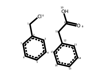 ClCc1ccccc1.O=C(O)Cc1ccccc1